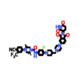 C[C@@H]1CN(c2ccc(C#N)c(C(F)(F)F)c2)[C@@H](C)CN1C(=O)Nc1ccc(N2CCC(CN3CCN(c4ccc5c(c4)C(=O)N([C@@H]4CCC(=O)NC4=O)C5=O)CC3)CC2)c(F)c1